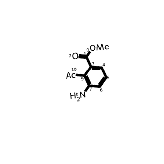 COC(=O)c1cccc(N)c1C(C)=O